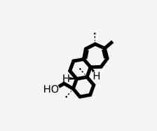 CC1=CC[C@H]2C(=C[C@@H]1C)CC[C@H]1[C@](C)(CO)CCC[C@]21C